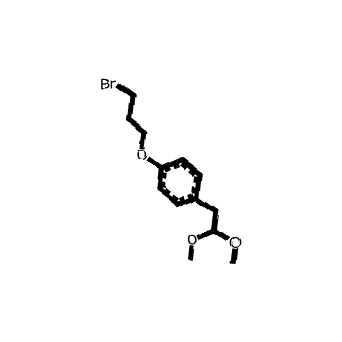 COC(Cc1ccc(OCCCBr)cc1)OC